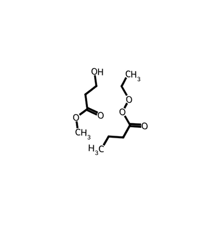 CCCC(=O)OOCC.COC(=O)CCO